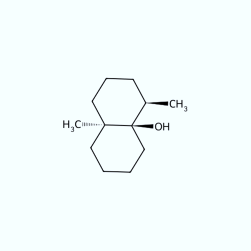 C[C@@H]1CCC[C@]2(C)CCCC[C@@]12O